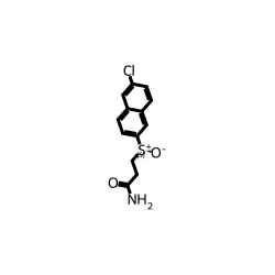 NC(=O)CC[S@@+]([O-])c1ccc2cc(Cl)ccc2c1